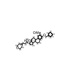 COc1cc2c(cc1OCc1ccccc1)CCC1C2CC[C@@]2(C)C1CC[C@@H]2NCCN1CCOCC1